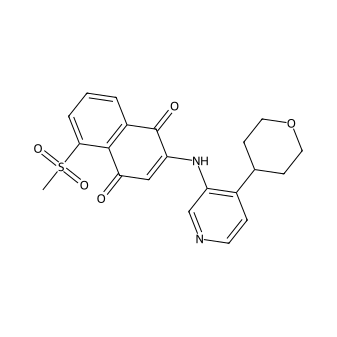 CS(=O)(=O)c1cccc2c1C(=O)C=C(Nc1cnccc1C1CCOCC1)C2=O